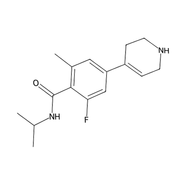 Cc1cc(C2=CCNCC2)cc(F)c1C(=O)NC(C)C